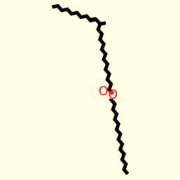 CCCCCCCCC=CC(C)CCCCCCCCCCCCC(=O)OCCCCCCCCCCCCCCCC